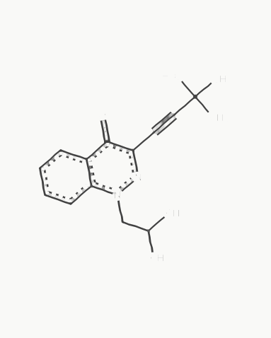 CC(C)Cn1nc(C#CC(C)(C)C)c(=O)c2ccccc21